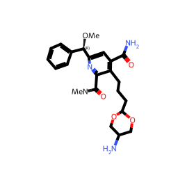 CNC(=O)c1nc([C@H](OC)c2ccccc2)cc(C(N)=O)c1CCCC1OCC(N)CO1